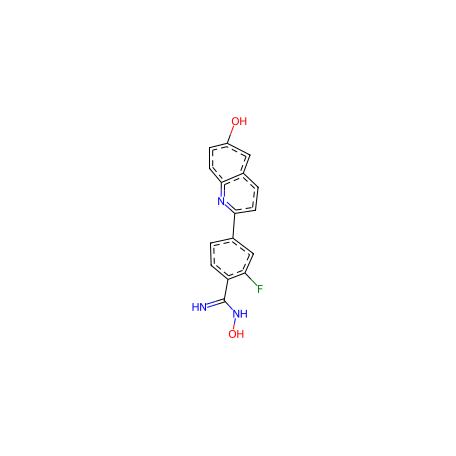 N=C(NO)c1ccc(-c2ccc3cc(O)ccc3n2)cc1F